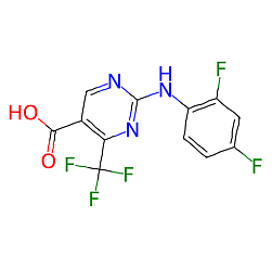 O=C(O)c1cnc(Nc2ccc(F)cc2F)nc1C(F)(F)F